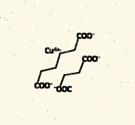 O=C([O-])CCC(=O)[O-].O=C([O-])CCCCC(=O)[O-].[Cu+4]